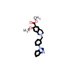 COC(=O)c1cc2c(cc1OC)CN(Cc1cccc(-n3cnc4ccccc43)c1)CC2